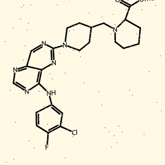 COC(=O)C1CCCCN1CC1CCN(c2ncc3ncnc(Nc4ccc(F)c(Cl)c4)c3n2)CC1